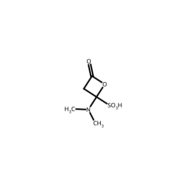 CN(C)C1(S(=O)(=O)O)CC(=O)O1